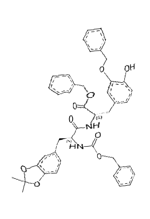 CC1(C)Oc2ccc(C[C@H](NC(=O)OCc3ccccc3)C(=O)N[C@@H](Cc3ccc(O)c(OCc4ccccc4)c3)C(=O)OCc3ccccc3)cc2O1